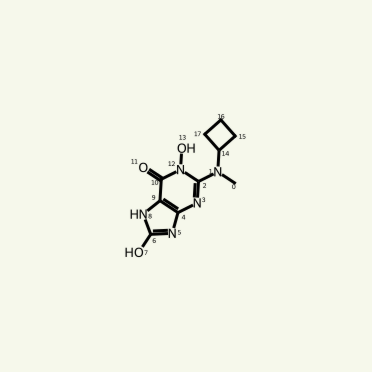 CN(c1nc2nc(O)[nH]c2c(=O)n1O)C1CCC1